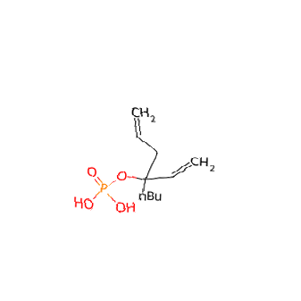 C=CCC(C=C)(CCCC)OP(=O)(O)O